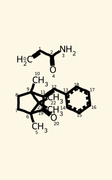 C=CC(N)=O.CC12CCC(C)(C(=Cc3ccccc3)C1=O)C2(C)C